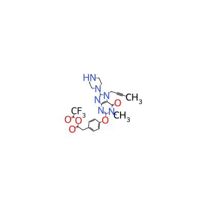 CC#CCn1c(N2CCNCC2)nc2nc(Oc3ccc(CC(=O)OC(=O)C(F)(F)F)cc3)n(C)c(=O)c21